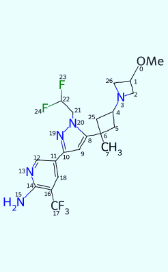 COC1CN(C2CC(C)(c3cc(-c4cnc(N)c(C(F)(F)F)c4)nn3CC(F)F)C2)C1